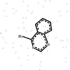 CCC(C)c1ncnc2ccccc12